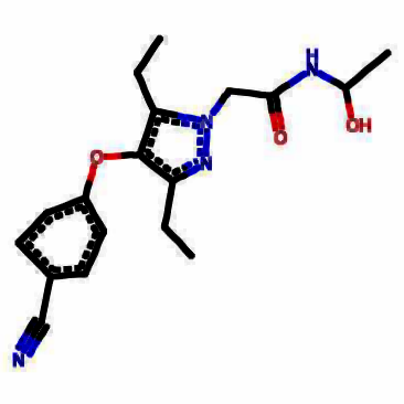 CCc1nn(CC(=O)NC(C)O)c(CC)c1Oc1ccc(C#N)cc1